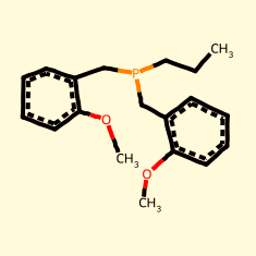 CCCP(Cc1ccccc1OC)Cc1ccccc1OC